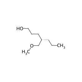 CCC[C@@H](CCCO)COC